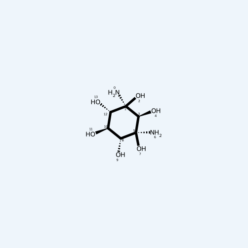 N[C@]1(O)[C@@H](O)[C@@](N)(O)[C@H](O)[C@@H](O)[C@@H]1O